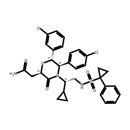 NC(=O)C[C@H]1O[C@H](c2cccc(Cl)c2)[C@@H](c2ccc(Cl)cc2)N([C@H](CNS(=O)(=O)C2(c3ccccc3)CC2)C2CC2)C1=O